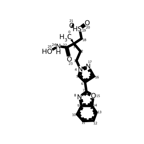 C[C@](CCn1cc(-c2nc3ccccc3o2)cn1)(C[SH](=O)=O)C(=O)NO